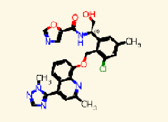 Cc1cc(Cl)c(COc2cccc3c(-c4ncnn4C)cc(C)nc23)c([C@H](CO)NC(=O)c2cnco2)c1